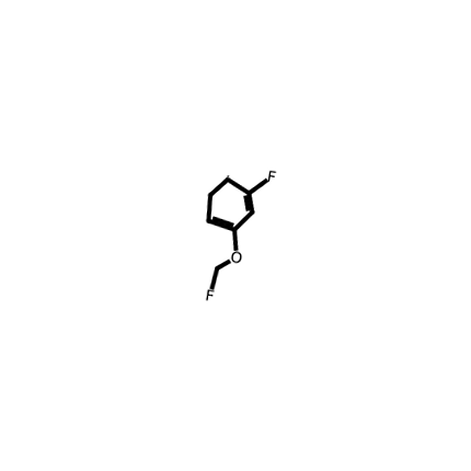 FCOC1=CC[CH]C(F)=C1